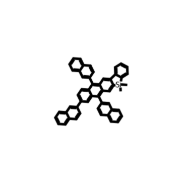 C[Si]1(C)c2ccccc2-c2cc3c(-c4ccc5ccccc5c4)c4ccc(-c5ccc6ccccc6c5)cc4c(-c4ccc5ccccc5c4)c3cc21